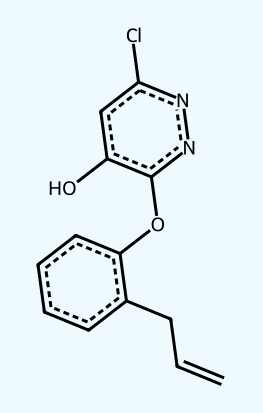 C=CCc1ccccc1Oc1nnc(Cl)cc1O